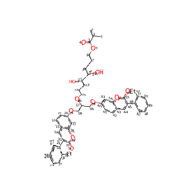 C=C(C)C(=O)OCCCC(O)C(O)CCCOC(COc1ccc2cc(-c3ccccc3CC)c(=O)oc2c1)COc1ccc2cc(-c3ccccc3CC)c(=O)oc2c1